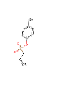 C=CCS(=O)(=O)Oc1ccc(C(C)(C)C)cc1